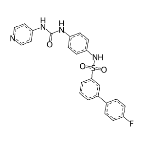 O=C(Nc1ccncc1)Nc1ccc(NS(=O)(=O)c2cccc(-c3ccc(F)cc3)c2)cc1